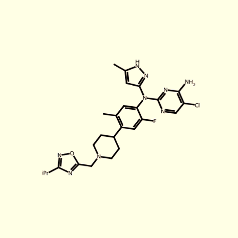 Cc1cc(N(c2ncc(Cl)c(N)n2)c2cc(C)c(C3CCN(Cc4nc(C(C)C)no4)CC3)cc2F)n[nH]1